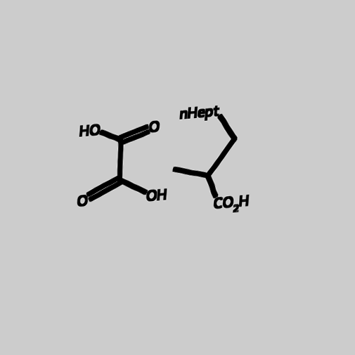 CCCCCCCCC(C)C(=O)O.O=C(O)C(=O)O